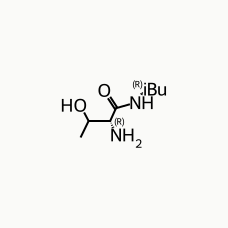 CC[C@@H](C)NC(=O)[C@H](N)C(C)O